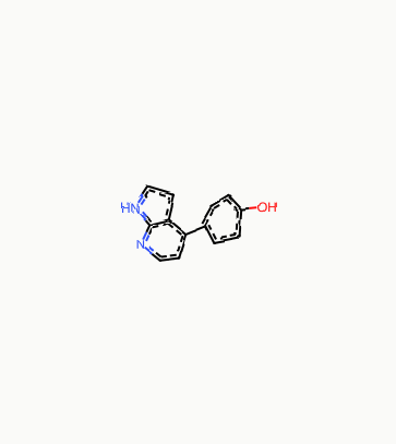 Oc1ccc(-c2ccnc3[nH]ccc23)cc1